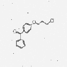 O=C(c1ccccc1)c1ccc(OCCCCl)cc1